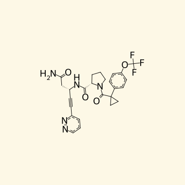 NC(=O)C[C@@H](C#Cc1cccnn1)NC(=O)[C@@H]1CCCN1C(=O)C1(c2ccc(OC(F)(F)F)cc2)CC1